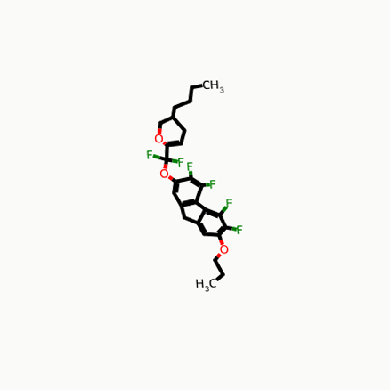 CCCCC1CC=C(C(F)(F)Oc2cc3c(c(F)c2F)-c2c(cc(OCCC)c(F)c2F)C3)OC1